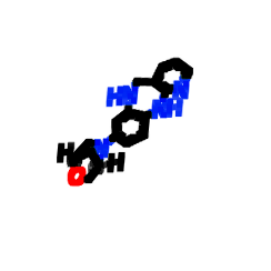 c1cnc2c(c1)CNc1cc(N3C[C@@H]4C[C@@H]3CO4)ccc1N2